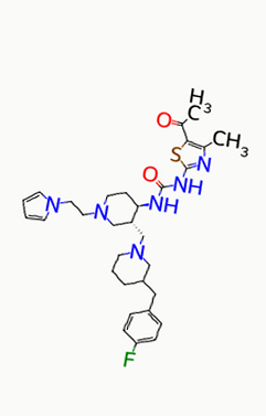 CC(=O)c1sc(NC(=O)N[C@@H]2CCN(CCn3cccc3)C[C@H]2CN2CCCC(Cc3ccc(F)cc3)C2)nc1C